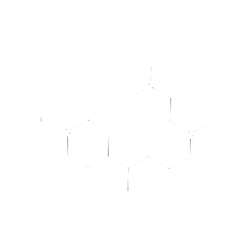 CC(CCC(C)N(C)CCN(C)C(C)C)C1CCN(C(C)C)CC1